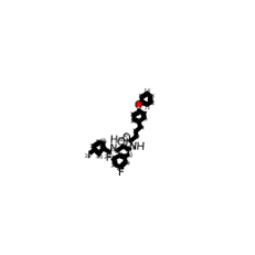 O=C(CCCc1ccc(Oc2ccccc2)cc1)N[C@@H](Cc1cc(F)cc(F)c1)[C@@H](O)CNCc1cccc(I)c1